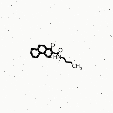 CCCCNC(=O)c1ccc2c(ccc3ccccc32)c1[O]